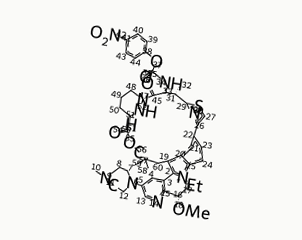 CCn1c(-c2cc(N3CCN(C)CC3)cnc2[C@H](C)OC)c2c3cc(ccc31)-c1csc(n1)[C@@H](C)[C@H](NC(=O)Oc1ccc([N+](=O)[O-])cc1)C(=O)N1CCC[C@H](N1)C(=O)OCC(C)(C)C2